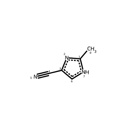 Cc1nc(C#N)c[nH]1